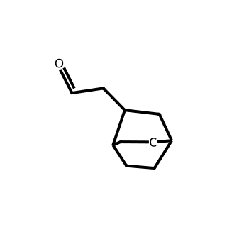 O=CCC1CC2CCC1CC2